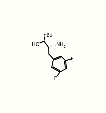 CCCC[C@H](O)[C@H](N)Cc1cc(F)cc(F)c1